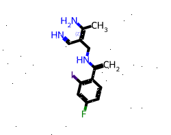 C=C(NC/C(C=N)=C(\C)N)c1ccc(F)cc1I